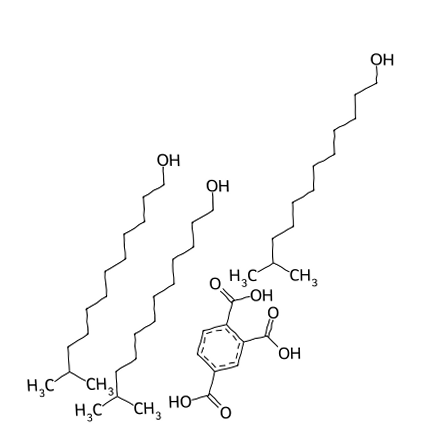 CC(C)CCCCCCCCCCO.CC(C)CCCCCCCCCCO.CC(C)CCCCCCCCCCO.O=C(O)c1ccc(C(=O)O)c(C(=O)O)c1